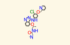 C[C@@H](CNC(=O)CN(C)C)Oc1cccc2ncnc(Nc3ccc(OCc4ccccn4)c(Cl)c3)c12